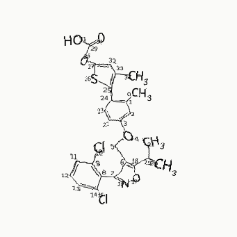 Cc1cc(OCc2c(-c3c(Cl)cccc3Cl)noc2C(C)C)ccc1-c1sc(OC(=O)O)cc1C